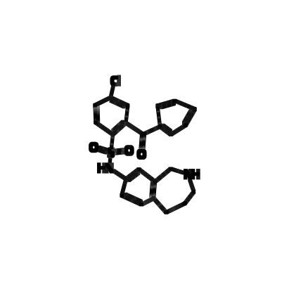 O=C(c1ccccc1)c1cc(Cl)ccc1S(=O)(=O)Nc1ccc2c(c1)CNCCC2